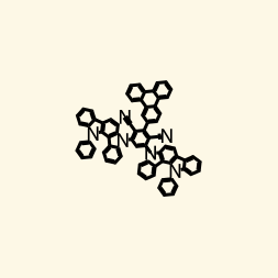 N#Cc1c(-n2c3ccccc3c3c2ccc2c4ccccc4n(-c4ccccc4)c23)cc(-n2c3ccccc3c3c2ccc2c4ccccc4n(-c4ccccc4)c23)c(C#N)c1-c1ccc2c3ccccc3c3ccccc3c2c1